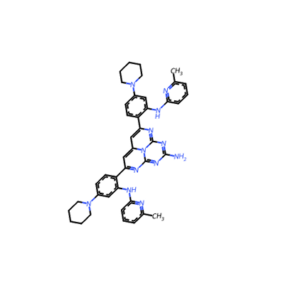 Cc1cccc(Nc2cc(N3CCCCC3)ccc2C2=CC3=CC(c4ccc(N5CCCCC5)cc4Nc4cccc(C)n4)=NC4=NC(N)=NC(=N2)N34)n1